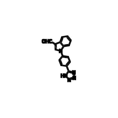 O=Cc1cn(-c2ccc(-c3nnn[nH]3)cc2)c2ccccc12